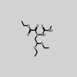 CCOC(=O)C(=O)N(CC(OCC)OCC)NC(=S)NC